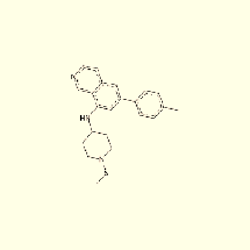 CSN1CCC(Nc2cc(-c3ccc(C)cc3)cc3ccncc23)CC1